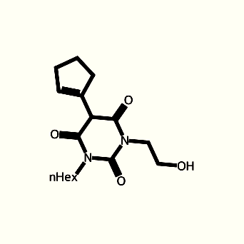 CCCCCCN1C(=O)C(C2=CCCC2)C(=O)N(CCO)C1=O